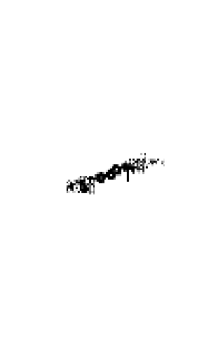 COC(=O)N[C@@H](C)C(=O)N1CCC[C@H]1c1ncc(-c2ccc(-c3ccc4cc(-c5cnc([C@H](C)N(C(=O)[C@H](C)NC(=O)OC)C(C)C)[nH]5)ccc4c3)cc2)[nH]1